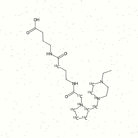 CCN1CC[15N]([13CH2][13CH]2[13CH2][13CH2][13CH2][15N]2[13CH2]C(=O)NCC[13CH2]C(=O)NCCCC(=O)O)[13CH2][13CH2]1